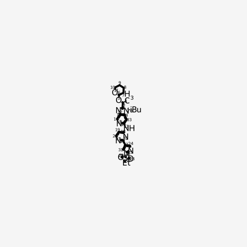 CC[C@@H](C)n1c([C@@H](C)OC2CCCCO2)nc2cnc(Nc3ccnc(-c4cnn(S(=O)(=O)CC)c4)n3)cc21